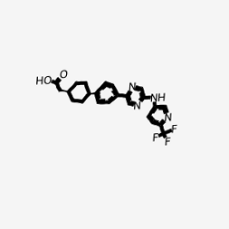 O=C(O)C[C@H]1CC[C@@H](c2ccc(-c3cnc(Nc4ccc(C(F)(F)F)nc4)cn3)cc2)CC1